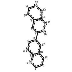 c1cnc2ncc(-c3cc4ccncc4nn3)cc2c1